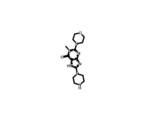 Cn1c(N2CCOCC2)nc2nc(N3CCNCC3)[nH]c2c1=O